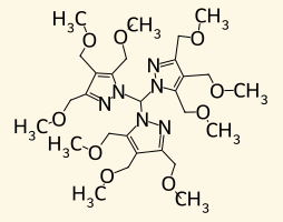 COCc1nn(C(n2nc(COC)c(COC)c2COC)n2nc(COC)c(COC)c2COC)c(COC)c1COC